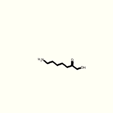 NCCCCCC(=O)CO